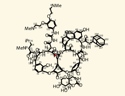 CNCCOc1ccc(NC(=O)NC(=O)C[C@@H]2NC(=O)[C@H](NC(=O)[C@@H](CC(C)C)NC)[C@H](O)c3ccc(c(C)c3)Oc3cc4cc(c3O[C@@H]3O[C@@H]5CNC(=O)O[C@H]5[C@H](O)[C@H]3O)Oc3ccc(cc3Cl)[C@@H](O)[C@@H]3NC(=O)[C@H](NC(=O)[C@@H]4NC2=O)c2ccc(O)c(c2)-c2c(O)cc(O)cc2[C@@H](C(=O)NC2C4CC5CC(C4)CC2C5)NC3=O)cc1OCCNC